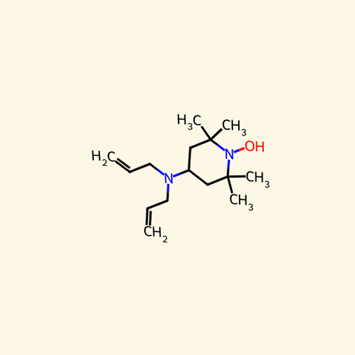 C=CCN(CC=C)C1CC(C)(C)N(O)C(C)(C)C1